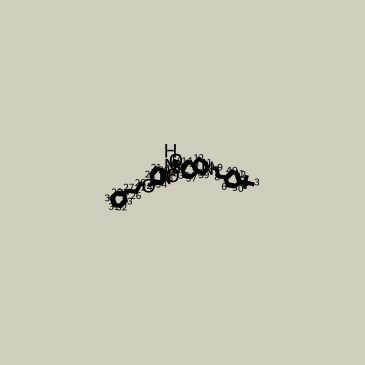 CC(C)(C)c1ccc(CCN2CCc3cc(S(=O)(=O)Nc4ccc(OCCCc5ccccc5)cn4)ccc3C2)cc1